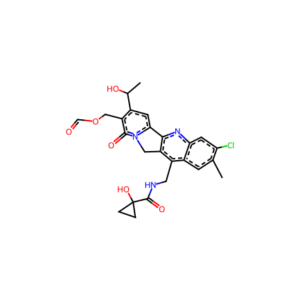 Cc1cc2c(CNC(=O)C3(O)CC3)c3c(nc2cc1Cl)-c1cc(C(C)O)c(COC=O)c(=O)n1C3